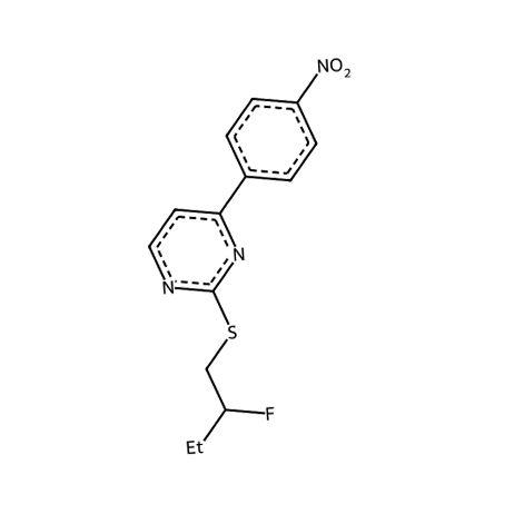 CCC(F)CSc1nccc(-c2ccc([N+](=O)[O-])cc2)n1